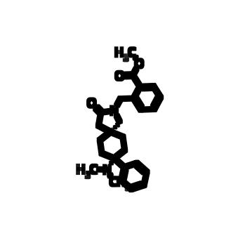 COC(=O)c1ccccc1CN1C[C@]2(CC[C@@](c3ccccc3)(N(C)C)CC2)CC1=O